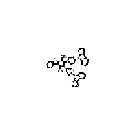 N#Cc1c(-c2ccc(-n3c4ccccc4c4ccccc43)nc2)c(-c2ccc(-n3c4ccccc4c4ccccc43)nc2)c(C#N)c2c1oc1ccccc12